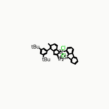 Cc1ccc2c(c1-c1cc(C(C)(C)C)cc(C(C)(C)C)c1)C=C(C(C)C)[CH]2[Zr]([Cl])([Cl])[c]1cccc2c1[SiH2]c1ccccc1-2